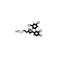 O=C(O)CCc1cc(-c2ccc(Cl)c(Cl)c2)n(-c2ccc(Cl)cc2Cl)n1